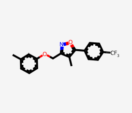 Cc1[c]c(OCc2noc(-c3ccc(C(F)(F)F)cc3)c2C)ccc1